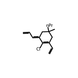 C=C/C=C1\CC(C)(CCC)CC(C=C)=C1Cl